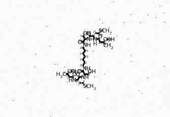 C=C(CC(=O)N[C@@H](CCSC)C(=O)NC(CO)C(=O)NCCCCCCCNC(=O)C(CO)NC(=O)[C@H](CCSC)NC(=O)CC(=C)OO)OO